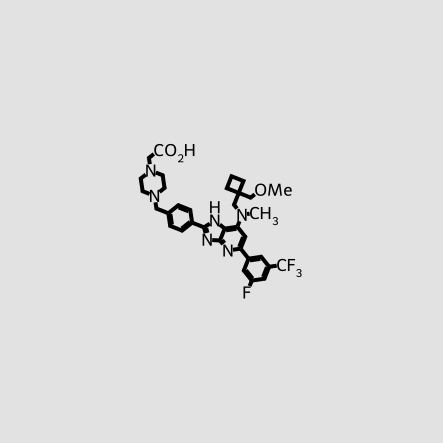 COCC1(CN(C)c2cc(-c3cc(F)cc(C(F)(F)F)c3)nc3nc(-c4ccc(CN5CCN(CC(=O)O)CC5)cc4)[nH]c23)CCC1